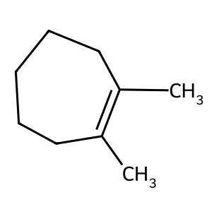 CC1=C(C)CCCCC1